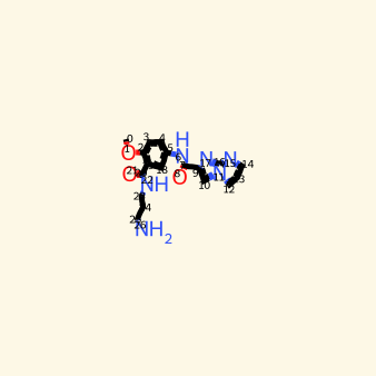 COc1ccc(NC(=O)c2cn3cccnc3n2)cc1C(=O)NCCCN